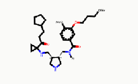 COCCCOc1cc(C(=O)N(C[C@@H]2CNC[C@H]2CNC2(C(=O)CCC3CCCC3)CC2)C(C)C)ccc1OC